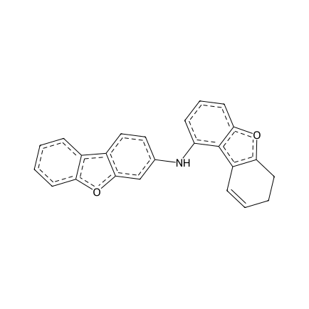 C1=Cc2c(oc3cccc(Nc4ccc5c(c4)oc4ccccc45)c23)CC1